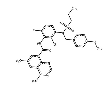 CCCS(=O)(=O)N(Cc1ccc(OC)cc1)c1ccc(F)c(NC(=O)c2cc(C)cc3c(N)ncnc23)c1Cl